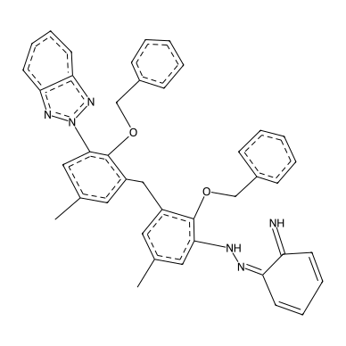 Cc1cc(Cc2cc(C)cc(-n3nc4ccccc4n3)c2OCc2ccccc2)c(OCc2ccccc2)c(N/N=C2/C=CC=CC2=N)c1